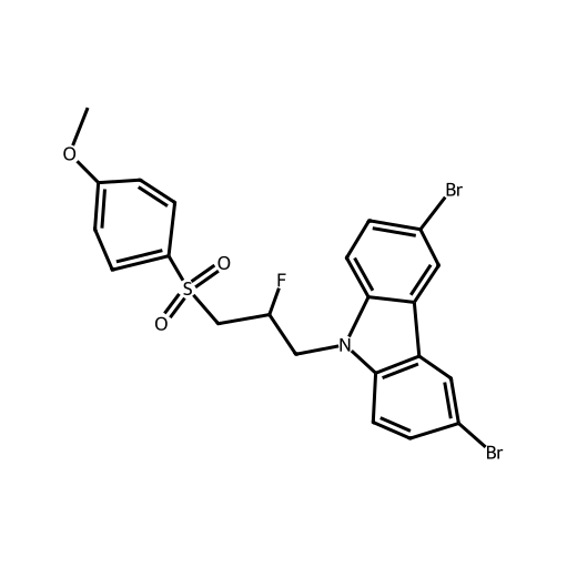 COc1ccc(S(=O)(=O)CC(F)Cn2c3ccc(Br)cc3c3cc(Br)ccc32)cc1